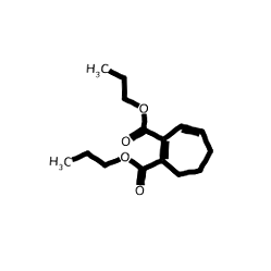 CCCOC(=O)C1=C(C(=O)OCCC)CCCC=C1